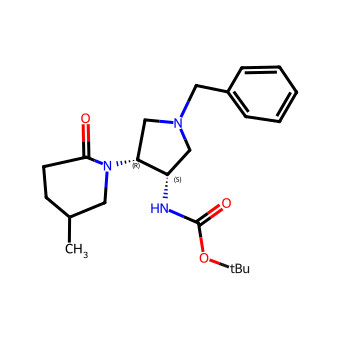 CC1CCC(=O)N([C@@H]2CN(Cc3ccccc3)C[C@@H]2NC(=O)OC(C)(C)C)C1